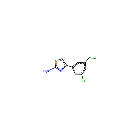 Nc1nc(-c2cc(Cl)cc(CF)c2)cs1